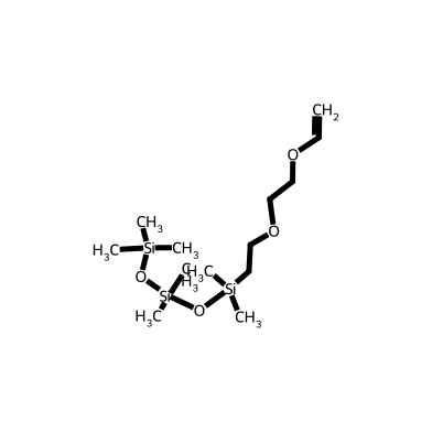 C=COCCOCC[Si](C)(C)O[Si](C)(C)O[Si](C)(C)C